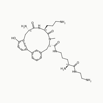 CN1C(=O)[C@H](CCCN)NC(=O)[C@@H](N)Cc2cc(ccc2O)-c2cccc(c2)C[C@H]1C(=O)NCCC[C@H](N)C(=O)NCCN